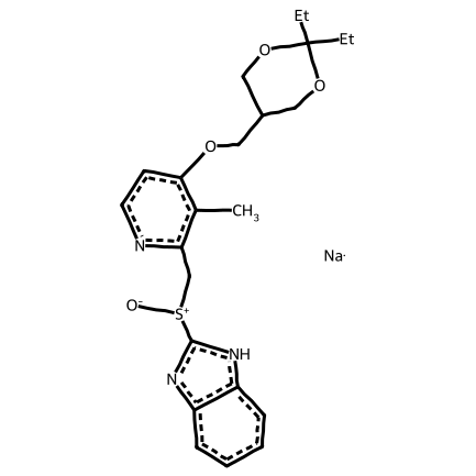 CCC1(CC)OCC(COc2ccnc(C[S+]([O-])c3nc4ccccc4[nH]3)c2C)CO1.[Na]